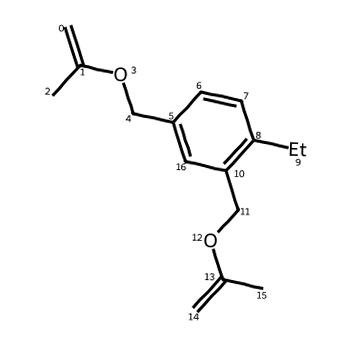 C=C(C)OCc1ccc(CC)c(COC(=C)C)c1